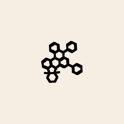 CC12CCCCC1(C)N1c3cc(-c4ccccc4)cc4c3B(c3ccccc3N4c3ccccc3)c3cccc2c31